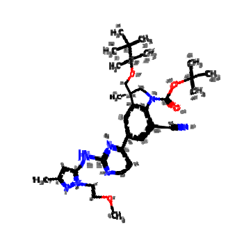 COCCn1nc(C)cc1Nc1nccc(-c2cc(C#N)c3c(c2)[C@@](C)(CO[Si](C)(C)C(C)(C)C)CN3C(=O)OC(C)(C)C)n1